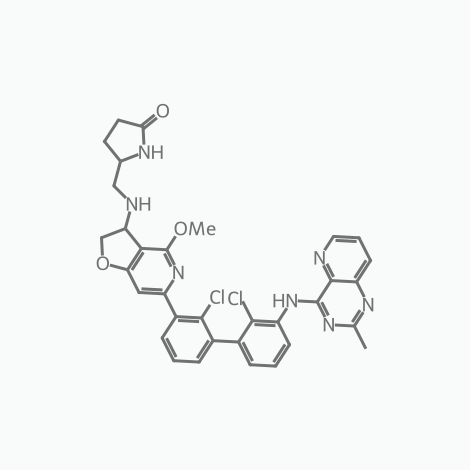 COc1nc(-c2cccc(-c3cccc(Nc4nc(C)nc5cccnc45)c3Cl)c2Cl)cc2c1C(NCC1CCC(=O)N1)CO2